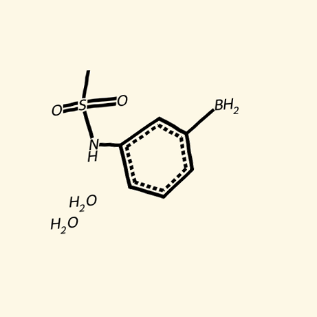 Bc1cccc(NS(C)(=O)=O)c1.O.O